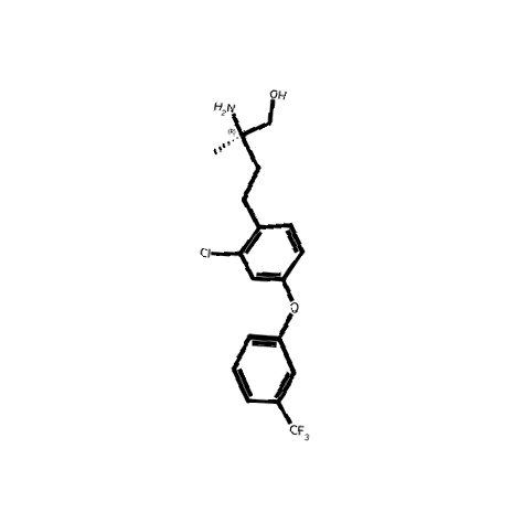 C[C@](N)(CO)CCc1ccc(Oc2cccc(C(F)(F)F)c2)cc1Cl